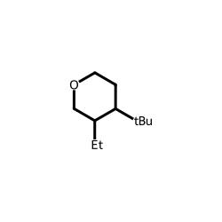 CCC1COCCC1C(C)(C)C